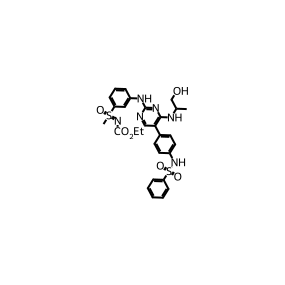 CCOC(=O)N=S(C)(=O)c1cccc(Nc2ncc(-c3ccc(NS(=O)(=O)c4ccccc4)cc3)c(NC(C)CO)n2)c1